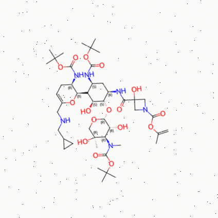 C=C(C)OC(=O)N1CC(O)(C(=O)N[C@@H]2C[C@H](NC(=O)OC(C)(C)C)C([C@H]3OC(CNCC4CC4)=CC[C@H]3NC(=O)OC(C)(C)C)[C@H](O)[C@H]2O[C@H]2OC[C@](C)(O)[C@H](N(C)C(=O)OC(C)(C)C)[C@H]2O)C1